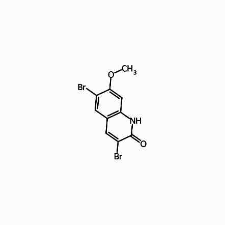 COc1cc2[nH]c(=O)c(Br)cc2cc1Br